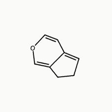 C1=CC2=CCCC2=CO1